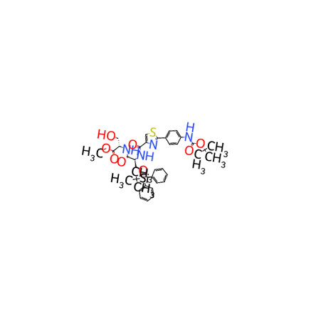 COC(=O)[C@H](CO)NC(=O)[C@H](CO[Si](c1ccccc1)(c1ccccc1)C(C)(C)C)NC(=O)c1csc(-c2ccc(NC(=O)OC(C)(C)C)cc2)n1